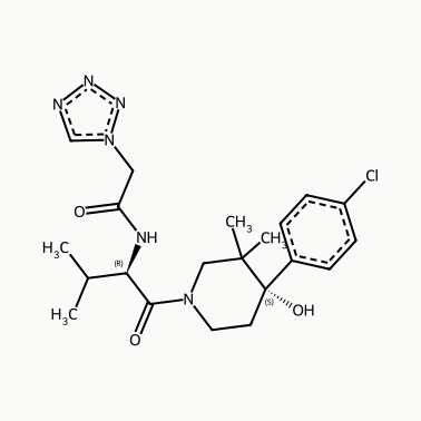 CC(C)[C@@H](NC(=O)Cn1cnnn1)C(=O)N1CC[C@](O)(c2ccc(Cl)cc2)C(C)(C)C1